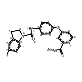 CNC(=O)c1cc(Oc2ccc(NC(=O)N3CCc4cc(C)ccc43)cc2)ccn1